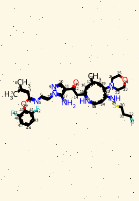 CC(C)=C/C(=N\C=C\n1ncc(C(=O)Cc2cc(C)cc(N3CCOCC3)c(NSCCCF)cc[nH]2)c1N)Oc1c(F)cccc1F